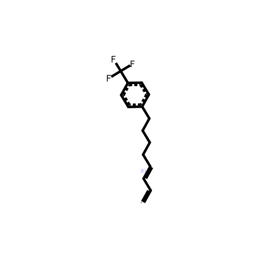 [CH]=C/C=C/CCCCc1ccc(C(F)(F)F)cc1